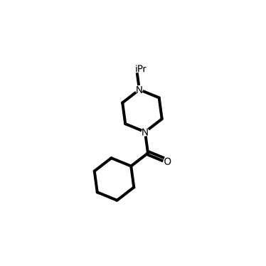 CC(C)N1CCN(C(=O)C2CCCCC2)CC1